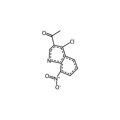 CC(=O)c1cnc2c([N+](=O)[O-])cccc2c1Cl